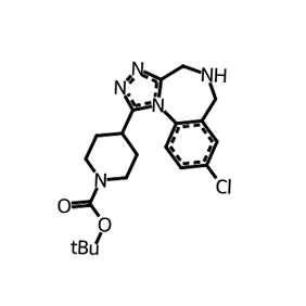 CC(C)(C)OC(=O)N1CCC(c2nnc3n2-c2ccc(Cl)cc2CNC3)CC1